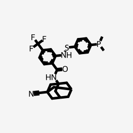 CP(C)c1ccc(SNc2cc(C(F)(F)F)ccc2C(=O)NC23CC4CC(CC(C#N)(C4)C2)C3)cc1